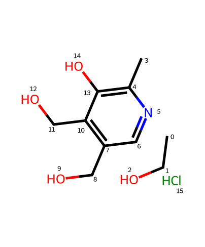 CCO.Cc1ncc(CO)c(CO)c1O.Cl